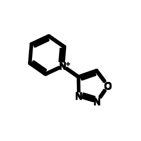 c1cc[n+](-c2conn2)cc1